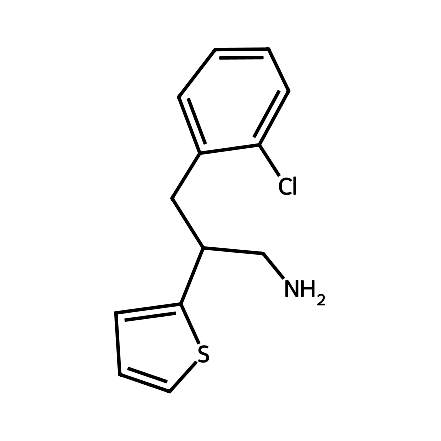 NCC(Cc1ccccc1Cl)c1cccs1